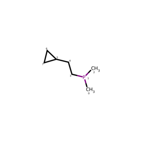 CP(C)CCC1CC1